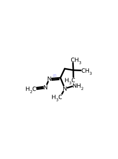 C=N/N=C(/CC(C)(C)C)N(C)N